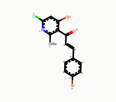 COc1nc(Cl)cc(O)c1C(=O)/C=C/c1ccc(Br)cc1